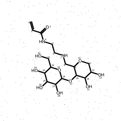 C=CC(=O)NCCNCC1OCC(O)C(O)C1OC1OC(CO)C(O)C(O)C1O